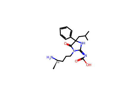 CC(C)CC1(c2ccccc2)NC(=NC(=O)O)N(CCC[C@@H](C)N)C1=O